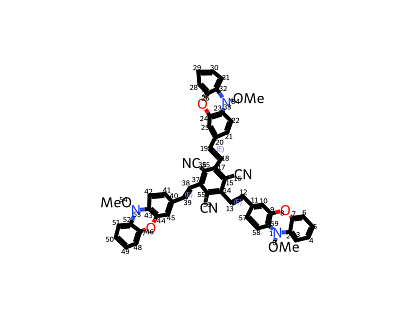 CON1c2ccccc2Oc2cc(/C=C/c3c(C#N)c(/C=C/c4ccc5c(c4)Oc4ccccc4N5OC)c(C#N)c(/C=C/c4ccc5c(c4)Oc4ccccc4N5OC)c3C#N)ccc21